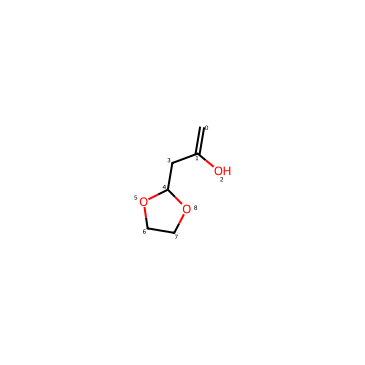 C=C(O)CC1OCCO1